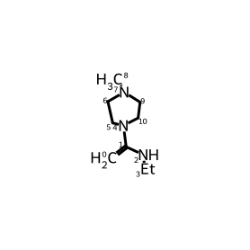 C=C(NCC)N1CCN(C)CC1